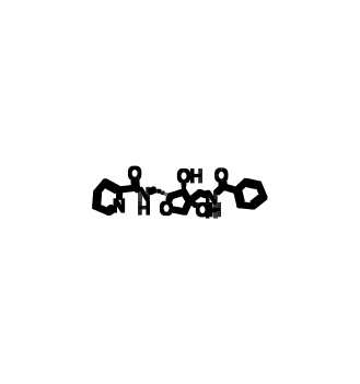 O=C(NC[C@]1(O)CO[C@H](CNC(=O)c2ccccn2)[C@H]1O)c1ccccc1